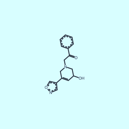 O=C(CN1CC(c2cnoc2)=CC(O)C1)c1ccccc1